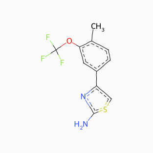 Cc1ccc(-c2csc(N)n2)cc1OC(F)(F)F